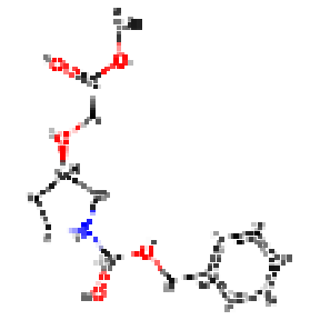 CC(C)(C)OC(=O)CO[C@@H]1CCN(C(=O)OCc2ccccc2)C1